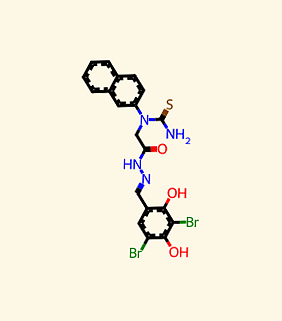 NC(=S)N(CC(=O)N/N=C/c1cc(Br)c(O)c(Br)c1O)c1ccc2ccccc2c1